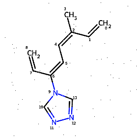 C=C/C(C)=C\C=C(/C=C)n1cnnc1